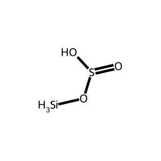 O=S(O)O[SiH3]